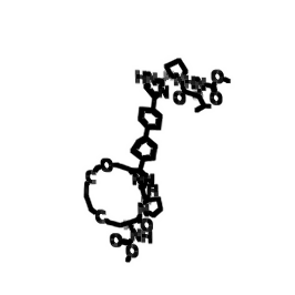 COC(=O)N[C@H]1CCCCCCCCOCc2[nH]c(nc2-c2ccc(-c3ccc(-c4c[nH]c([C@@H]5CCCN5C(=O)[C@@H](NC(=O)OC)C(C)C)n4)cc3)cc2)[C@@H]2CCCN2C1=O